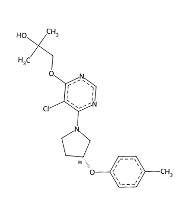 Cc1ccc(O[C@@H]2CCN(c3ncnc(OCC(C)(C)O)c3Cl)C2)cc1